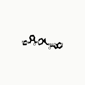 O=C(NCC1CC12CCN(C(=O)c1ccccc1Cn1ccnc1)CC2)c1cc2ccncc2o1